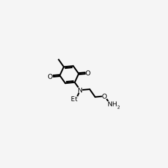 CCN(CCON)C1=CC(=O)C(C)=CC1=O